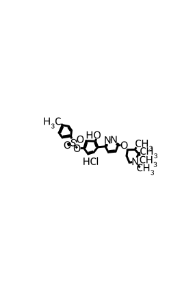 Cc1ccc(S(=O)(=O)Oc2ccc(-c3ccc(OC4CCN(C)C(C)(C)C4C)nn3)c(O)c2)cc1.Cl